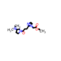 CCOC(=O)Cn1ccnc1CCC(=O)N1CCC(N(C)C)C1